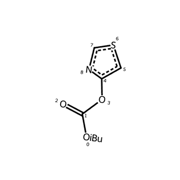 CC(C)COC(=O)Oc1cscn1